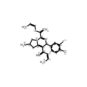 C=C(S/C=C\C)C1=NC(c2ccc(Cl)c(F)c2)C(C(=N)/C=C\C)=C2CC(N)CN12